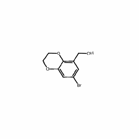 OCc1cc(Br)cc2c1OCCO2